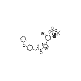 CC(C)(C)OP(=O)(O)Oc1c(Br)cc(-c2noc(C(=O)NCc3ccc(Oc4ccccc4)cc3)n2)cc1Br